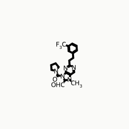 CN1c2cnc(CCc3cccc(C(F)(F)F)c3)nc2N(C(=O)N2CCCC2)C1C=O